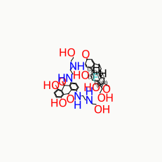 C[C@@H]1C[C@H]2[C@@H]3CCC4=CC(=O)C=C[C@]4(C)[C@@]3(F)[C@@H](O)C[C@]2(C)[C@@]1(O)C(=O)CO.O=C1c2c(O)ccc(O)c2C(=O)c2c(NCCNCCO)ccc(NCCNCCO)c21